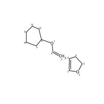 C1=COCC1.C=COC1CCCCC1